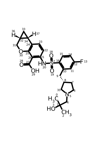 CC(C)(O)CN1CC[C@@H](Cc2cc(F)ccc2S(=O)(=O)Nc2ccc3c(c2C(=O)O)OC[C@@H]2C[C@H]32)C1